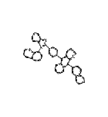 c1ccc2cc(-c3c4ccccc4c(-c4ccc(-c5nc6ccccc6n5-c5cccc6cccnc56)cc4)c4ccccc34)ccc2c1